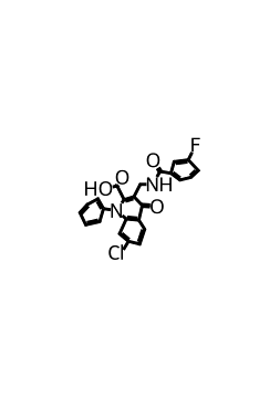 O=C(NCc1c(C(=O)O)n(-c2ccccc2)c2cc(Cl)ccc2c1=O)c1cccc(F)c1